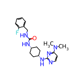 CN(C)c1ccnc(N[C@H]2CC[C@@H](NC(=O)NCc3ccccc3F)CC2)n1